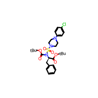 CC(C)(C)OC(=O)[C@@H](Cc1ccccc1)N(C(=O)OC(C)(C)C)S(=O)(=O)N1CCN(c2ccc(Cl)cc2)CC1